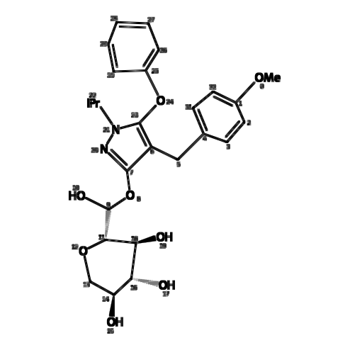 COc1ccc(Cc2c(OC(O)[C@H]3OC[C@H](O)[C@@H](O)[C@@H]3O)nn(C(C)C)c2Oc2ccccc2)cc1